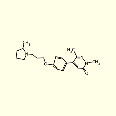 Cc1nn(C)c(=O)cc1-c1ccc(OCCCN2CCC[C@H]2C)cc1